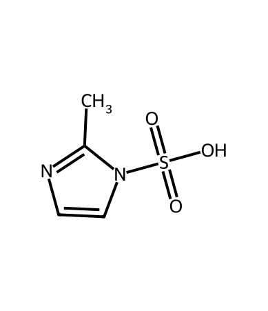 Cc1nccn1S(=O)(=O)O